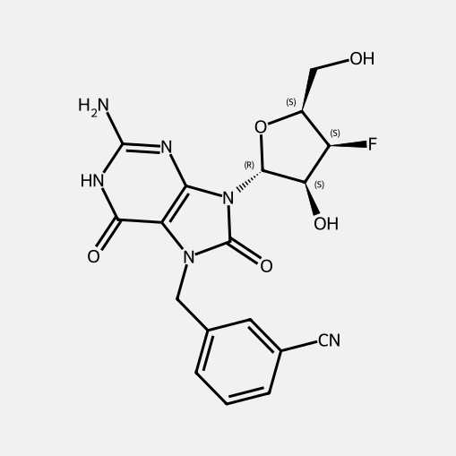 N#Cc1cccc(Cn2c(=O)n([C@@H]3O[C@@H](CO)[C@@H](F)[C@H]3O)c3nc(N)[nH]c(=O)c32)c1